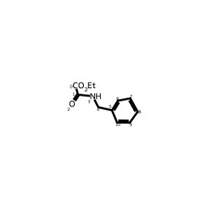 CCOC(=O)C(=O)NCc1ccccc1